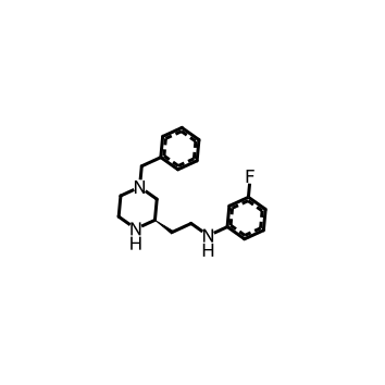 Fc1cccc(NCC[C@@H]2CN(Cc3ccccc3)CCN2)c1